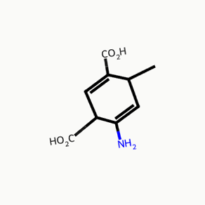 CC1C=C(N)C(C(=O)O)C=C1C(=O)O